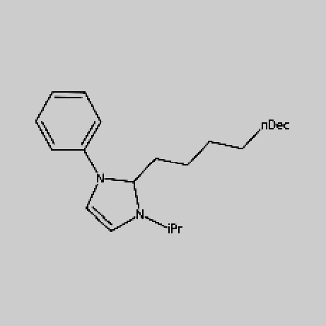 CCCCCCCCCCCCCCC1N(c2ccccc2)C=CN1C(C)C